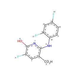 O=C(O)c1cc(F)c(O)nc1Nc1ccc(F)cc1F